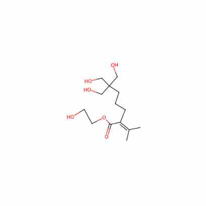 CC(C)=C(CCCC(CO)(CO)CO)C(=O)OCCO